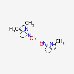 Cc1ccc2c(n1)/C(=N/OCCCO/N=C1\CCCc3c(C)cc(C)nc31)CCC2